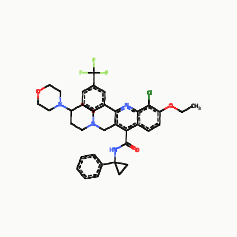 CCOc1ccc2c(C(=O)NC3(c4ccccc4)CC3)c(CN3CCC(N4CCOCC4)CC3)c(-c3cccc(C(F)(F)F)c3)nc2c1Cl